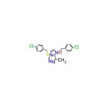 CC1=NN=C[N+]2(SCc3ccc(Cl)cc3)C=CN(OCc3ccc(Cl)cc3)C12